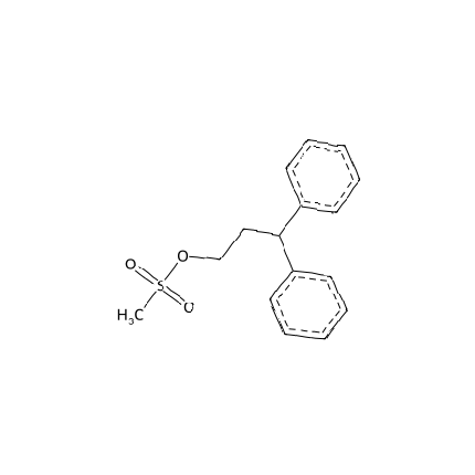 CS(=O)(=O)OCCC(c1ccccc1)c1ccccc1